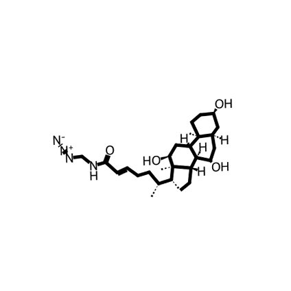 C[C@H](CC/C=C/C(=O)NCN=[N+]=[N-])[C@H]1CC[C@H]2[C@@H]3[C@H](O)C[C@@H]4C[C@H](O)CC[C@]4(C)[C@H]3C[C@H](O)[C@]12C